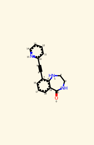 O=C1NCCNc2c(C#Cc3ccccn3)cccc21